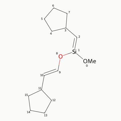 CO[Si](=CC1CCCC1)OC=CC1CCCC1